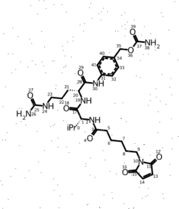 CC(C)[C@@H](NC(=O)CCCCCN1C(=O)C=CC1=O)C(=O)N[C@H](CCCNC(N)=O)C(=O)Nc1ccc(COC(N)=O)cc1